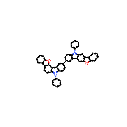 c1ccc(-n2c3ccc(-c4ccc5c(c4)c4c6oc7ccccc7c6ccc4n5-c4ccccc4)cc3c3cc4oc5ccccc5c4cc32)cc1